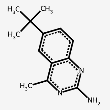 Cc1nc(N)nc2ccc(C(C)(C)C)cc12